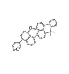 CC1(C)c2ccccc2-c2ccc3oc4ccc(-c5ccccc5)c5cccc(c6ccc1c2c36)c45